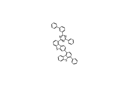 c1ccc(-c2cccc(-c3nc(-c4ccccc4)nc(-c4cccc5sc6cc(-c7ccc(-c8ccccc8)c8sc9ccccc9c78)ccc6c45)n3)c2)cc1